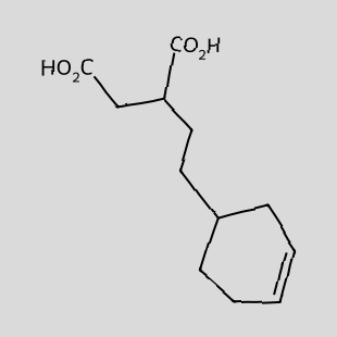 O=C(O)CC(CCC1CC=CCC1)C(=O)O